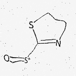 O=[S+]C1=NCCS1